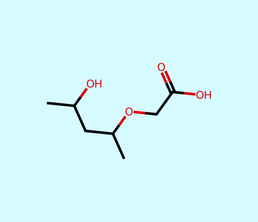 CC(O)CC(C)OCC(=O)O